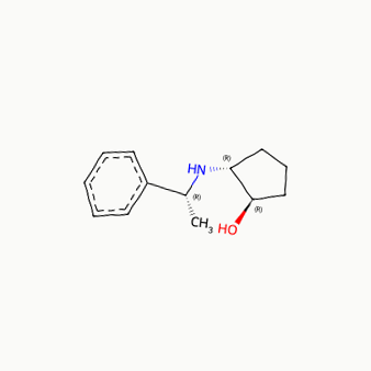 C[C@@H](N[C@@H]1CCC[C@H]1O)c1ccccc1